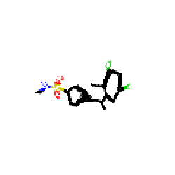 CNS(=O)(=O)c1ccc(C(C)c2cc(Cl)cc(Cl)c2C)cc1